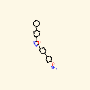 NOc1ccc(-c2ccc(-c3nnc(-c4ccc(-c5ccccc5)cc4)o3)cc2)cc1